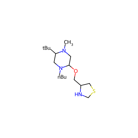 CCCCN1CC(C(C)(C)C)N(C)CC1OCC1CSCN1